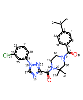 CC(C)c1ccc(C(=O)N2CCN(C(=O)c3ncn(-c4cccc(Cl)c4)n3)C(C)(C)C2)cc1